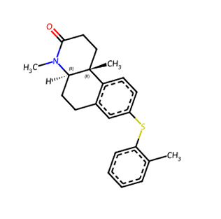 Cc1ccccc1Sc1ccc2c(c1)CC[C@H]1N(C)C(=O)CC[C@]21C